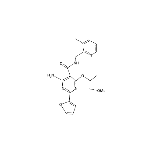 COCC(C)Oc1nc(-c2ccco2)nc(N)c1C(=O)NCc1ncccc1C